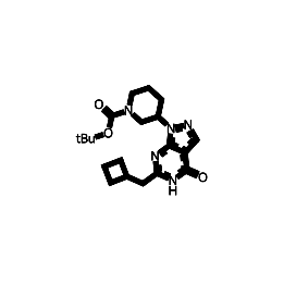 CC(C)(C)OC(=O)N1CCCC(n2ncc3c(=O)[nH]c(CC4CCC4)nc32)C1